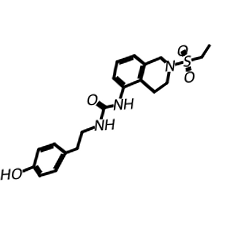 CCS(=O)(=O)N1CCc2c(cccc2NC(=O)NCCc2ccc(O)cc2)C1